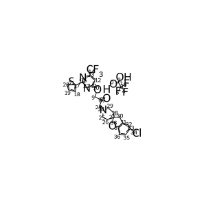 O=C(O)C(F)(F)F.O[C@H](COc1cc(C(F)(F)F)nc(-c2cccs2)n1)CN1CCC2(CC1)Cc1cc(Cl)ccc1O2